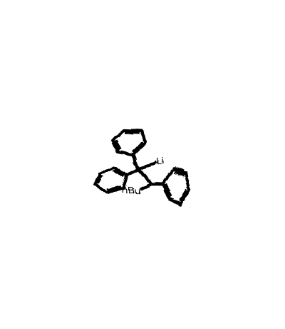 [Li][C](c1ccccc1)(c1ccccc1)C(CCCC)c1ccccc1